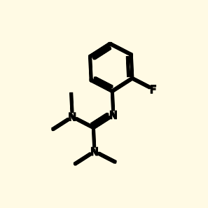 CN(C)C(=Nc1ccccc1F)N(C)C